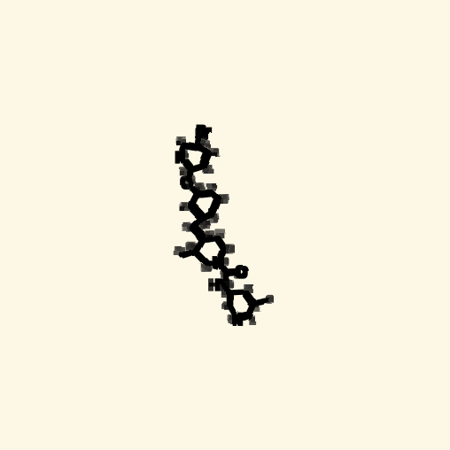 Cc1cncc(NC(=O)N2CCC(=Cc3cccc(Oc4ccc(Br)cn4)c3)C(C)C2)c1